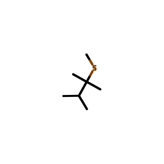 CSC(C)(C)C(C)C